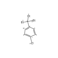 CCC(CC)(CC)c1ccc(Cl)cc1